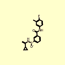 C=C(N[S+]([O-])c1cccc(C(=O)Nc2ccc(F)c(C)c2)c1)C1CC1